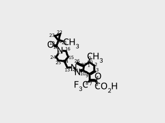 C[C@@H]1Cc2oc(C(=O)O)c(C(F)(F)F)c2-c2nn(CC3CCN(C(=O)C4(C)CC4)CC3)cc21